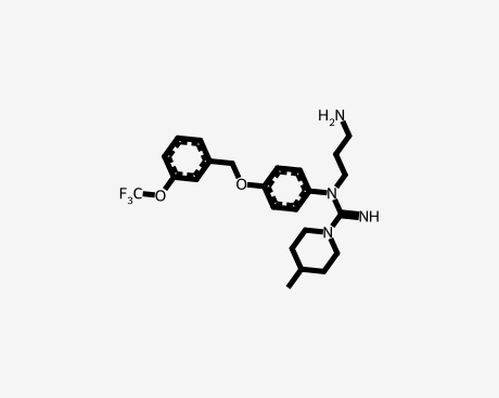 CC1CCN(C(=N)N(CCCN)c2ccc(OCc3cccc(OC(F)(F)F)c3)cc2)CC1